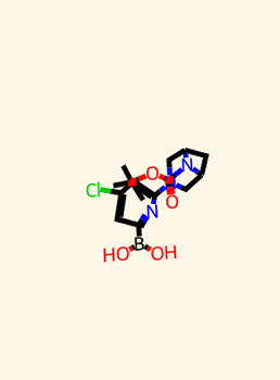 CC(C)(C)OC(=O)N1C2CC1CN(c1cc(Cl)cc(B(O)O)n1)C2